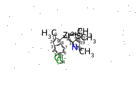 CC1=Cc2ccccc2[CH]1[Zr+2].CC1=NC2=CC=C3C2=C1[Si]3(C)C.[Cl-].[Cl-]